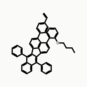 C=Cc1ccc(-c2ccc3c4c(ccc(-c5ccccc5OCCCC)c24)-c2c-3c(-c3ccccc3)c3ccccc3c2-c2ccccc2)cc1